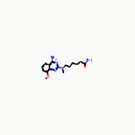 COc1cccc2c(N)nc(N(C)CCCCCC(N)=O)nc12